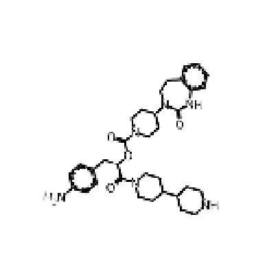 Nc1ccc(C[C@@H](OC(=O)N2CCC(N3CCc4ccccc4NC3=O)CC2)C(=O)N2CCC(C3CCNCC3)CC2)cc1